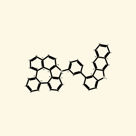 c1cc(-c2cccc3oc4cc5ccccc5cc4c23)cc(-n2c3cccc4c3c3c5c(cccc5ccc32)-c2ccccc2-4)c1